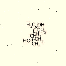 CC(C)(C)O.CCC(C)(C)O